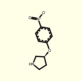 O=[N+]([O-])c1ccc(O[C@H]2CCNC2)cc1